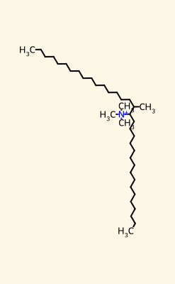 CCCCCCCCCCCCCCCCC(C)C(CCCCCCCCCCCCCCCC)[N+](C)(C)C